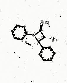 CS[C@@]1(c2ccccc2)[C@@H](N)C(=O)N1c1ccccc1.Cl